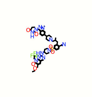 CCOCc1cc2cnc(NC3CCN(S(=O)(=O)c4ccc(C#N)c(CC(C)CN5CCC(c6ccc7c(N8CCC(=O)NC8=O)nn(C)c7c6)CC5)c4)CC3)nc2n(CC(F)(F)F)c1=O